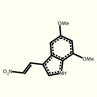 COc1cc(OC)c2[nH]cc(C=C[N+](=O)[O-])c2c1